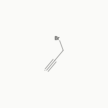 [C]#CCBr